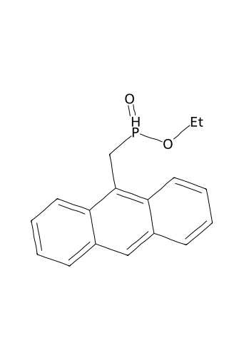 CCO[PH](=O)Cc1c2ccccc2cc2ccccc12